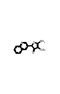 CC(=O)OC1=C(N)OC(c2cnc3ccccc3c2)C1=O